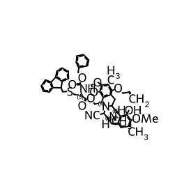 C=CCOc1c(C)c2c(c3c1CC1[C@H]4c5c(cc(C)c(OC)c5O)C[C@@H](C(C#N)N1[C@H]3COC(=O)[C@@H](CSCC1c3ccccc3-c3ccccc31)NC(=O)OCc1ccccc1)N4C)OCO2